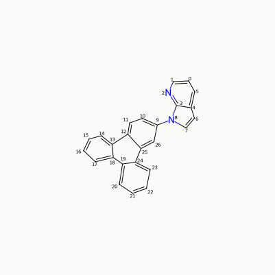 c1cnc2c(c1)ccn2-c1ccc2c3ccccc3c3ccccc3c2c1